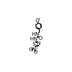 COC1C=CC(CNC(=O)Nc2ncc([N+](=O)[O-])s2)=CC1